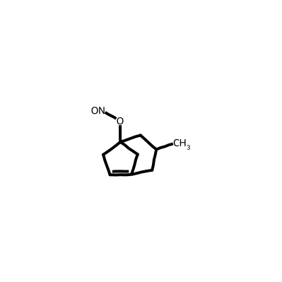 CC1CC2=CCC(ON=O)(C2)C1